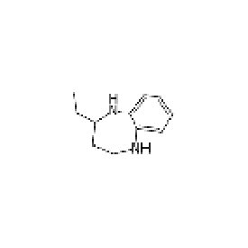 CCC1CCNc2ccccc2N1